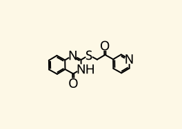 O=C(CSc1nc2ccccc2c(=O)[nH]1)c1cccnc1